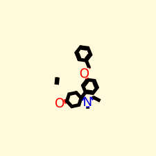 C=C.CCN(C)C1(c2cccc(OCc3ccccc3)c2)CCC(=O)CC1